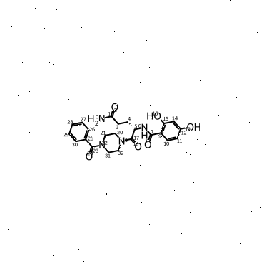 NC(=O)CC[C@H](NC(=O)c1ccc(O)cc1O)C(=O)N1CCN(C(=O)c2ccccc2)CC1